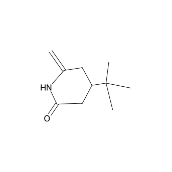 C=C1CC(C(C)(C)C)CC(=O)N1